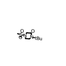 CC(C)(C)N1CCN(S(C)(=O)=O)CC1=O